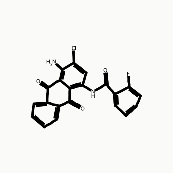 Nc1c(Cl)cc(NC(=O)c2ccccc2F)c2c1C(=O)c1ccccc1C2=O